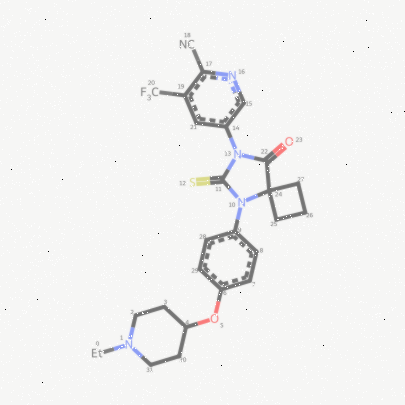 CCN1CCC(Oc2ccc(N3C(=S)N(c4cnc(C#N)c(C(F)(F)F)c4)C(=O)C34CCC4)cc2)CC1